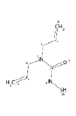 C=CCN(CC=C)C(=O)[N]S